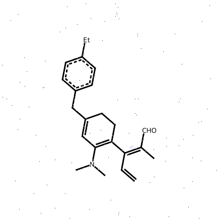 C=C/C(C1=C(N(C)C)C=C(Cc2ccc(CC)cc2)CC1)=C(\C)C=O